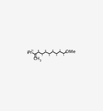 COCCCCCCCCC(C)C(C)C